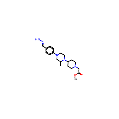 CC1CN(c2ccc(C=NN)cc2)CCN1C1CCN(CC(=O)OC(C)(C)C)CC1